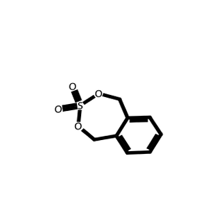 O=S1(=O)OCc2ccccc2CO1